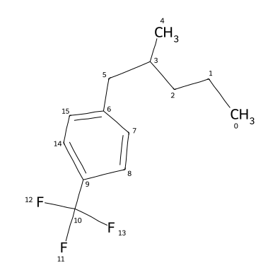 CCCC(C)Cc1ccc(C(F)(F)F)cc1